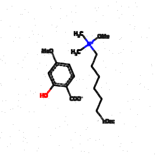 CCCCCCCCCCCCCCCC[N+](C)(C)OC.COc1ccc(C(=O)[O-])c(O)c1